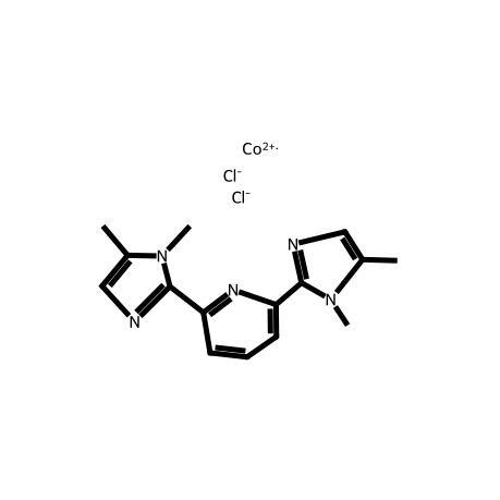 Cc1cnc(-c2cccc(-c3ncc(C)n3C)n2)n1C.[Cl-].[Cl-].[Co+2]